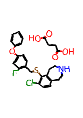 Fc1cc(Oc2ccccc2)ccc1CSc1c(Cl)ccc2c1CCNCC2.O=C(O)CCC(=O)O